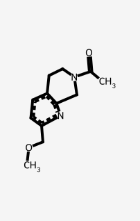 COCc1ccc2c(n1)CN(C(C)=O)CC2